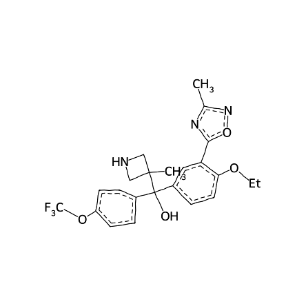 CCOc1ccc(C(O)(c2ccc(OC(F)(F)F)cc2)C2(C)CNC2)cc1-c1nc(C)no1